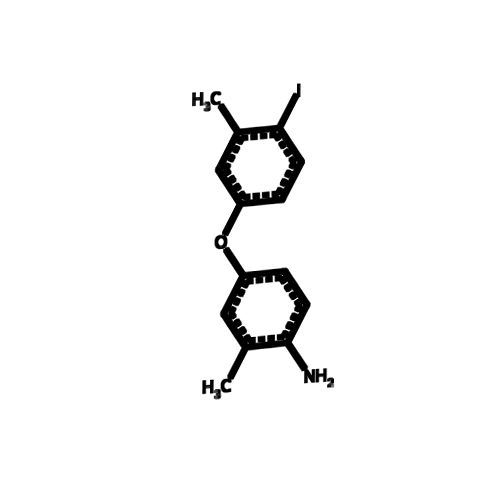 Cc1cc(Oc2ccc(I)c(C)c2)ccc1N